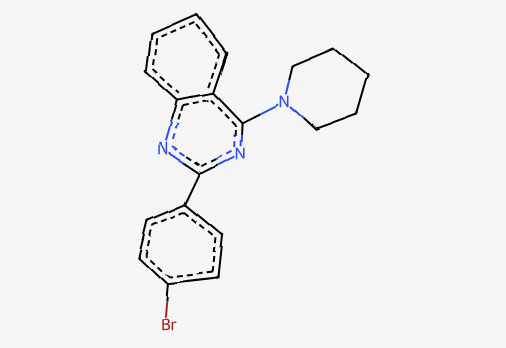 Brc1ccc(-c2nc(N3CCCCC3)c3ccccc3n2)cc1